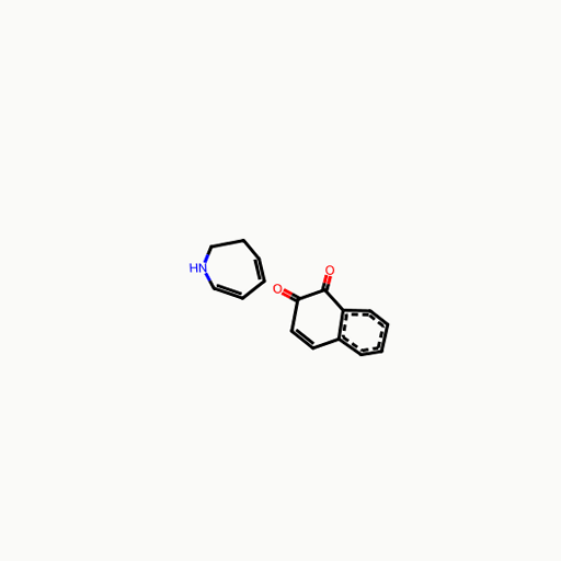 C1=CCCNC=C1.O=C1C=Cc2ccccc2C1=O